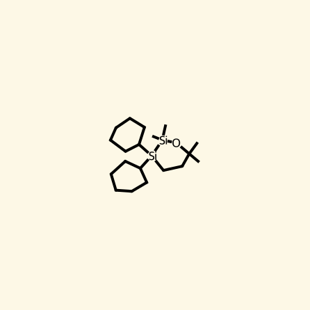 CC1(C)CC[Si](C2CCCCC2)(C2CCCCC2)[Si](C)(C)O1